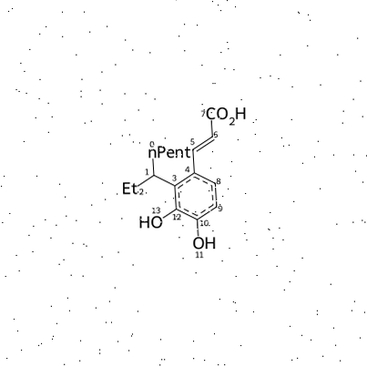 CCCCCC(CC)c1c(C=CC(=O)O)ccc(O)c1O